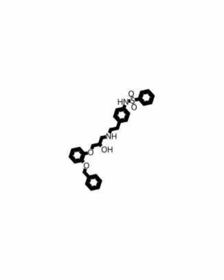 O=S(=O)(Nc1ccc(CCNCC(O)COc2ccccc2OCc2ccccc2)cc1)c1ccccc1